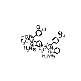 NS(=O)(=O)c1ccccc1N1CC(O)(C(F)(F)F)N=C1c1ccc(Cl)c(Cl)c1.NS(=O)(=O)c1ccccc1N1CC(O)(C(F)(F)F)N=C1c1ccc(OC(F)(F)F)cc1